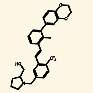 Cc1c(C=Cc2cc(CN3CCCC3CO)ccc2C(F)(F)F)cccc1-c1ccc2c(c1)OCCO2